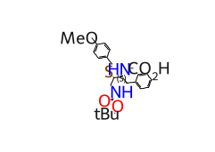 COc1ccc(CSC(CNC(=O)OC(C)(C)C)[C@H](Cc2ccccc2)NC(=O)O)cc1